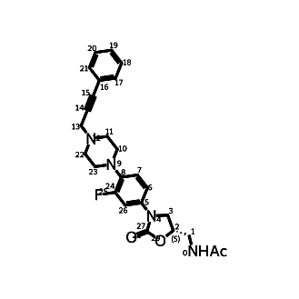 CC(=O)NC[C@H]1CN(c2ccc(N3CCN(CC#Cc4ccccc4)CC3)c(F)c2)C(=O)O1